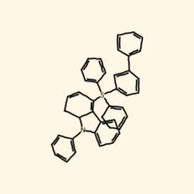 C1=CCCC(S(C2=C3c4ccccc4N(c4ccccc4)C3CC=C2)(c2ccccc2)c2cccc(-c3ccccc3)c2)=C1